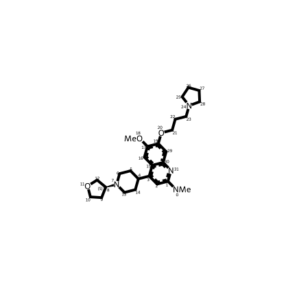 CNc1cc(C2CCN([C@H]3CCOC3)CC2)c2cc(OC)c(OCCCN3CCCC3)cc2n1